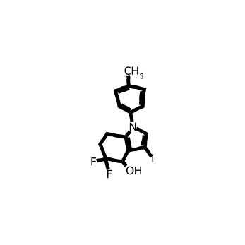 Cc1ccc(-n2cc(I)c3c2CCC(F)(F)C3O)cc1